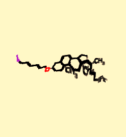 CC(C)CCC[C@@H](C)[C@H]1CCC2C3CC=C4C[C@@H](OCCCCCCI)CC[C@]4(C)C3CC[C@@]21C